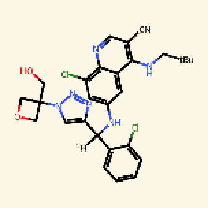 [2H]C(Nc1cc(Cl)c2ncc(C#N)c(NCC(C)(C)C)c2c1)(c1cn(C2(CO)COC2)nn1)c1ccccc1Cl